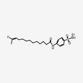 CCNS(=O)(=O)c1ccc(NC(=O)CCCCCCCCCC=C(F)F)cc1